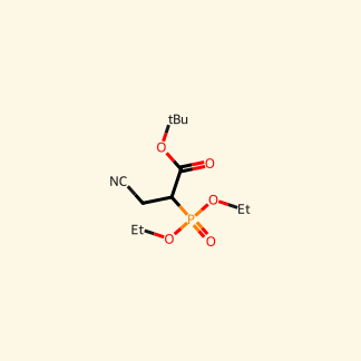 CCOP(=O)(OCC)C(CC#N)C(=O)OC(C)(C)C